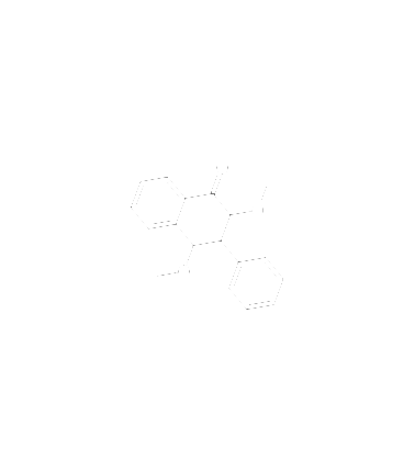 COC1C(=O)c2ccccc2C(OC)C1c1ccccc1